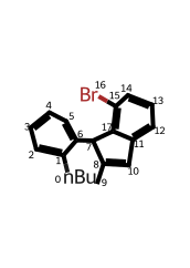 CCCCc1ccccc1C1C(C)=Cc2cccc(Br)c21